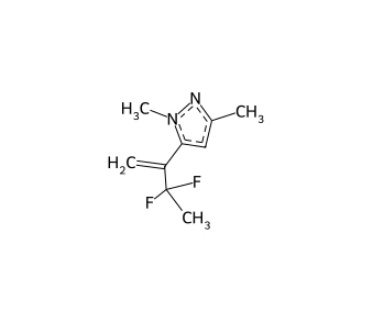 C=C(c1cc(C)nn1C)C(C)(F)F